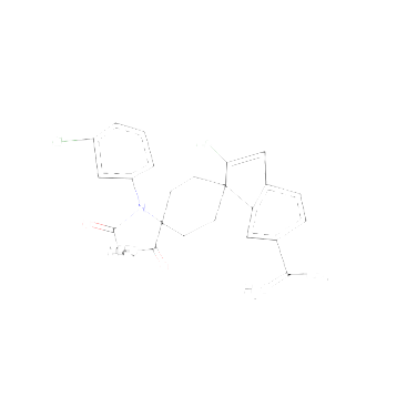 C=C(C)c1ccc2c(c1)C1(CCC(C(=O)OC)(N(C(=O)C(F)(F)F)c3cccc(Cl)c3)CC1)C(Br)=C2